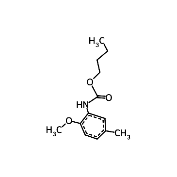 CCCCOC(=O)Nc1cc(C)ccc1OC